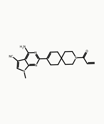 C=CC(=O)N1CCC2(CC=C(c3nc(N)c4c(C#N)cn(C)c4n3)CC2)CC1